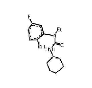 CCN(C(=O)NC1CCCCC1)c1cc(F)ccc1C